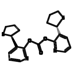 O=C(Oc1ncccc1[C@@H]1CCCS1)Oc1ncccc1[C@@H]1CCCS1